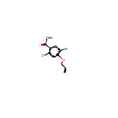 C=CCOc1cc(Cl)c(C(=O)OC)cc1Br